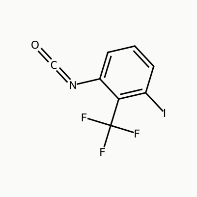 O=C=Nc1cccc(I)c1C(F)(F)F